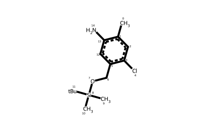 Cc1cc(Cl)c(CO[Si](C)(C)C(C)(C)C)cc1N